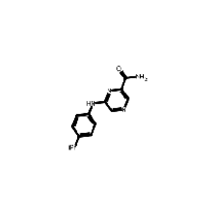 CC(C)c1ccc(Nc2cncc(C(N)=O)n2)cc1